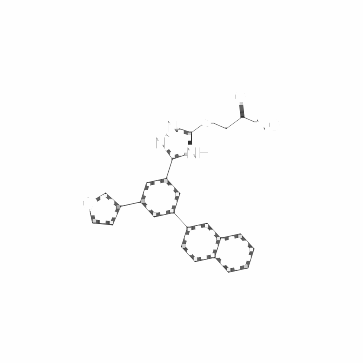 O=NC(=O)CSc1nnc(-c2cc(-c3ccoc3)cc(-c3ccc4ccccc4c3)c2)[nH]1